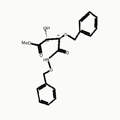 COC(=O)[C@H](O)[C@@H](OCc1ccccc1)C(=O)NOCc1ccccc1